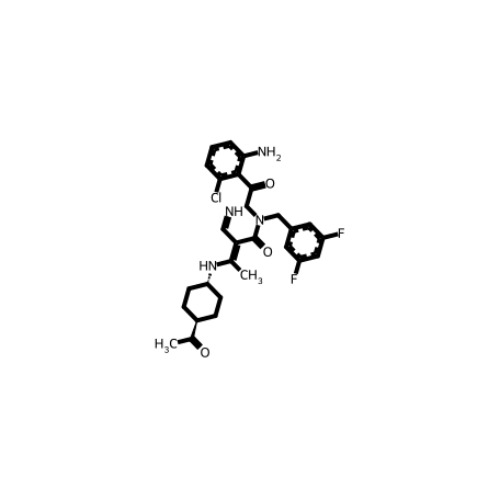 C/C(N[C@H]1CC[C@H](C(C)=O)CC1)=C(/C=N)C(=O)N(CC(=O)c1c(N)cccc1Cl)Cc1cc(F)cc(F)c1